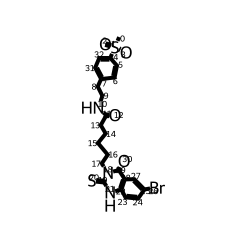 CS(=O)(=O)c1ccc(CCNC(=O)CCCCCn2c(=S)[nH]c3ccc(Br)cc3c2=O)cc1